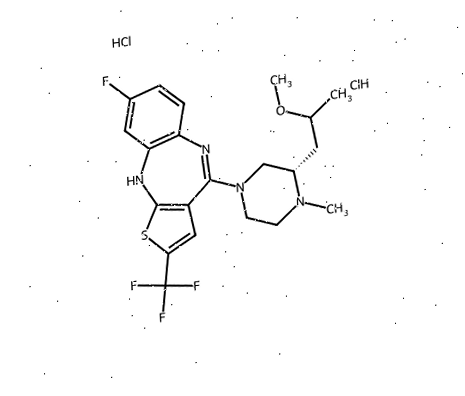 COC(C)C[C@H]1CN(C2=Nc3ccc(F)cc3Nc3sc(C(F)(F)F)cc32)CCN1C.Cl.Cl